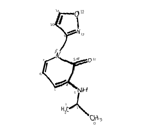 CC(C)Nc1cccn(-c2ccon2)c1=O